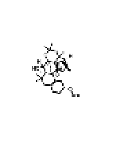 C=C1C(=O)[C@@]23[C@@H]4OC(C)(C)OC25OC[C@]2(C6=C(CC[C@H](OCCCC)C6)CC(C)(C)[C@H]2[C@@H]5O)[C@@H]3CC[C@@H]14